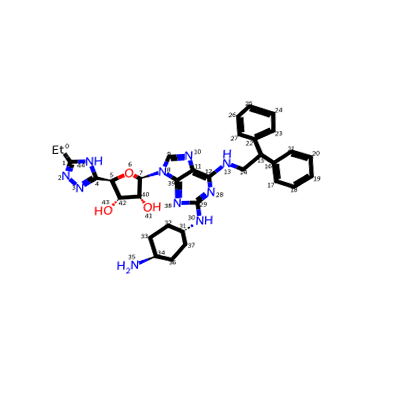 CCc1nnc([C@H]2O[C@@H](n3cnc4c(NCC(c5ccccc5)c5ccccc5)nc(N[C@H]5CC[C@H](N)CC5)nc43)[C@H](O)[C@@H]2O)[nH]1